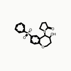 O=C1CCCN1C1c2cc(S(=O)(=O)c3ccccc3)ccc2OCCC1O